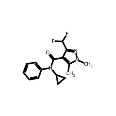 Cc1c(C(=O)N(c2ccccc2)C2CC2)c(C(F)F)nn1C